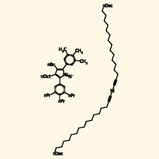 CCCCCCCCC1=C(c2cc(CCC)c(CCC)c(CCC)c2)[N+](=[N-])C(c2cc(C)c(C)c(C)c2)=C1CCCC.CCCCCCCCCCCCCCCCCCCCCCCCC#[C][Ni][C]#CCCCCCCCCCCCCCCCCCCCCCCCC